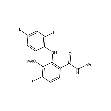 CCCNC(=O)c1ccc(F)c(OC)c1Nc1ccc(I)cc1F